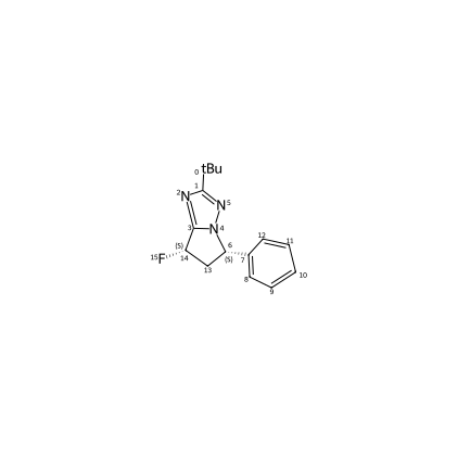 CC(C)(C)c1nc2n(n1)[C@H](c1ccccc1)C[C@@H]2F